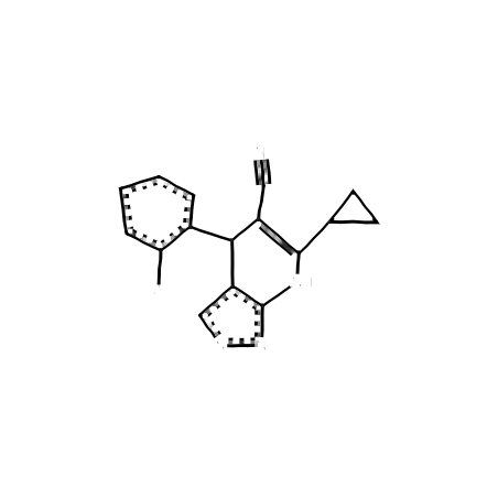 N#CC1=C(C2CC2)Nc2n[nH]cc2C1c1ccccc1Cl